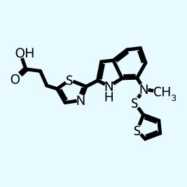 CN(Sc1cccs1)c1cccc2cc(-c3ncc(CCC(=O)O)s3)[nH]c12